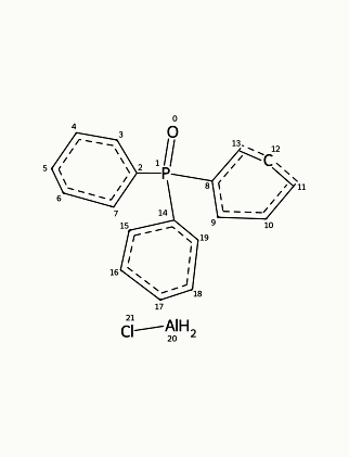 O=P(c1ccccc1)(c1ccccc1)c1ccccc1.[AlH2][Cl]